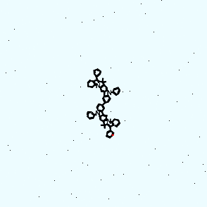 CC1(C)c2cc3c(cc2-n2c4c(c(-c5ccccc5)c21)C=CCC4)c1cc(-c2ccc4c(c2)c2cc5c(cc2n4-c2ccccc2)C(C)(C)c2c(-c4ccccc4)c4c(n2-5)CCC=C4)ccc1n3-c1ccccc1